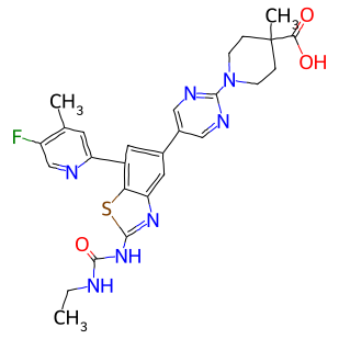 CCNC(=O)Nc1nc2cc(-c3cnc(N4CCC(C)(C(=O)O)CC4)nc3)cc(-c3cc(C)c(F)cn3)c2s1